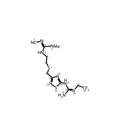 CN/C(=N/C#N)NCCSCc1nsc(N/C(N)=N\CC(F)(F)F)n1